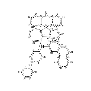 C1=CCC2=C(C(N(c3ccc(-c4ccccc4)cc3)c3ccc4ccc5ccccc5c4c3)=C1)c1ccccc1C21c2ccccc2Oc2ccccc21